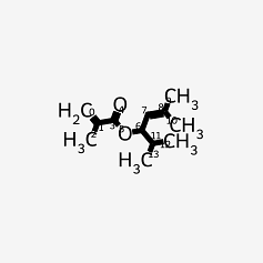 C=C(C)C(=O)OC(C=C(C)C)C(C)C